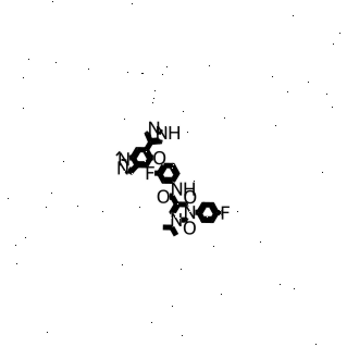 CC(C)n1cc(C(=O)Nc2ccc(Oc3cc4cnn(C)c4cc3-c3cn[nH]c3)c(F)c2)c(=O)n(-c2ccc(F)cc2)c1=O